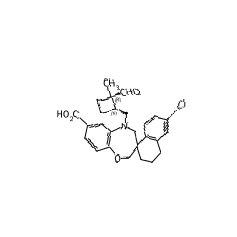 C[C@@]1(C=O)CC[C@@H]1CN1CC2(CCCc3cc(Cl)ccc32)COc2ccc(C(=O)O)cc21